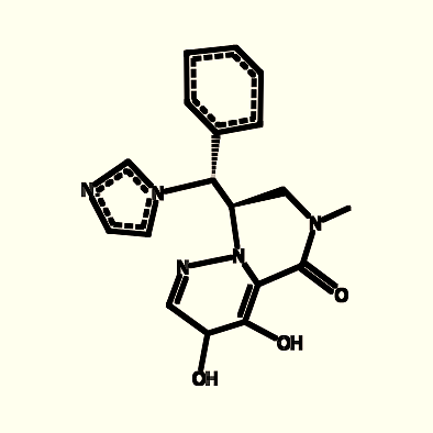 CN1C[C@H]([C@@H](c2ccccc2)n2ccnc2)N2N=CC(O)C(O)=C2C1=O